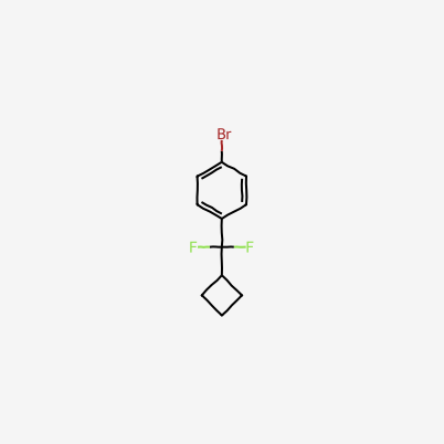 FC(F)(c1ccc(Br)cc1)C1CCC1